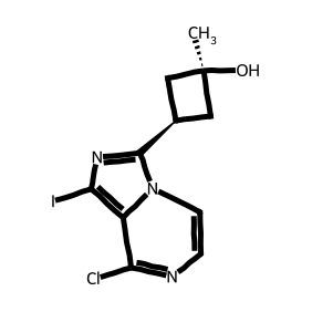 C[C@]1(O)C[C@@H](c2nc(I)c3c(Cl)nccn32)C1